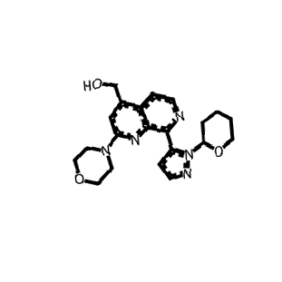 OCc1cc(N2CCOCC2)nc2c(-c3ccnn3C3CCCCO3)nccc12